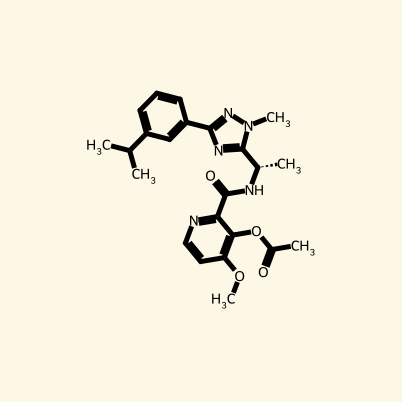 COc1ccnc(C(=O)N[C@@H](C)c2nc(-c3cccc(C(C)C)c3)nn2C)c1OC(C)=O